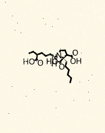 CCCCCC[C@@]1(C(=O)O)C(C(=O)O)CCN1NCCCC(CC)C(=O)O